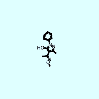 CO/N=C(\C)c1c(C)nn(-c2ccccc2)c1O